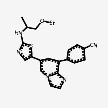 CCOCC(C)Nc1ncc(-c2cc(-c3ccc(C#N)cc3)c3nccn3c2)s1